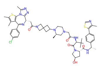 Cc1ncsc1-c1ccc([C@H](C)NC(=O)[C@@H]2C[C@@H](O)CN2C(=O)[C@@H](NC(=O)CN2CCN(C3CC4(C3)CN(C(=O)C[C@@H]3N=C(c5ccc(Cl)cc5)c5c(sc(C)c5C)-n5c(C)nnc53)C4)[C@H](C)C2)C(C)(C)C)cc1